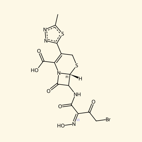 Cc1nnc(C2=C(C(=O)O)N3C(=O)C(NC(=O)/C(=N\O)C(=O)CBr)[C@H]3SC2)s1